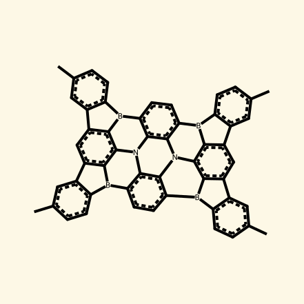 Cc1ccc2c(c1)-c1cc3c4c5c1B2c1ccc2c6c1N5c1c(ccc5c1N6c1c6c(cc7c1B5c1ccc(C)cc1-7)-c1cc(C)ccc1B26)B4c1ccc(C)cc1-3